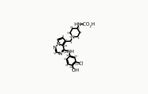 O=C(O)NC1CCN(Cc2ccn3ncnc(Nc4ccc(O)c(Cl)c4)c23)CC1